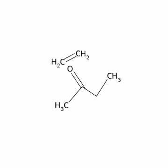 C=C.CCC(C)=O